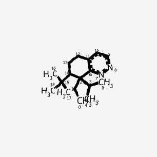 CCC1(C(C)C)c2nnccc2CCC1C(C)(C)C